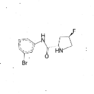 O=C(Nc1cccc(Br)c1)[C@@H]1C[C@@H](F)CN1